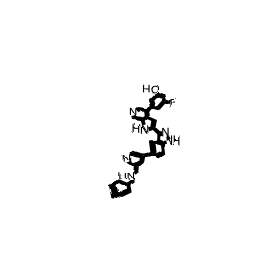 Oc1cc(F)cc(-c2cncc3[nH]c(-c4n[nH]c5ccc(-c6cncc(CNCc7ccccc7)c6)cc45)cc23)c1